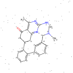 Cc1nc(N)nc2c1C(=O)CC(c1ccccc1-c1cccc(CN(C)C)c1)C2